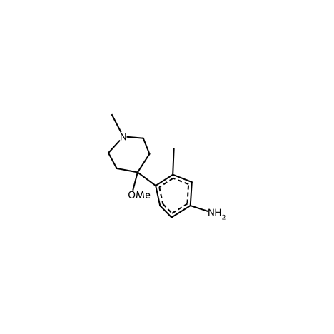 COC1(c2ccc(N)cc2C)CCN(C)CC1